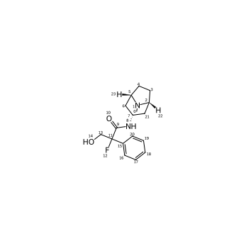 CN1[C@@H]2CC[C@H]1C[C@@H](NC(=O)C(F)(CO)c1ccccc1)C2